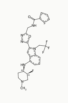 CN1CC[C@@H](Nc2cccc3c2cc(-c2nnc(CNC(=O)c4cccs4)o2)n3CC(F)(F)F)[C@@H](F)C1